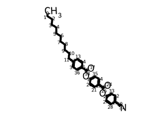 CCCCCCCCCCCCc1ccc(C(=O)Oc2ccc(C(=O)Oc3ccc(C#N)cc3)cc2)cc1